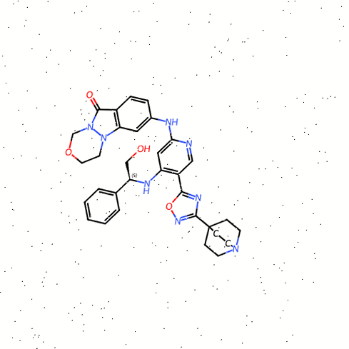 O=c1c2ccc(Nc3cc(N[C@H](CO)c4ccccc4)c(-c4nc(C56CCN(CC5)CC6)no4)cn3)cc2n2n1COCC2